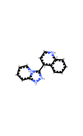 c1ccc2c(-c3nnc4ccccn34)ccnc2c1